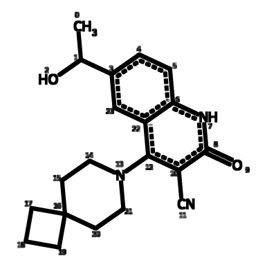 CC(O)c1ccc2[nH]c(=O)c(C#N)c(N3CCC4(CCC4)CC3)c2c1